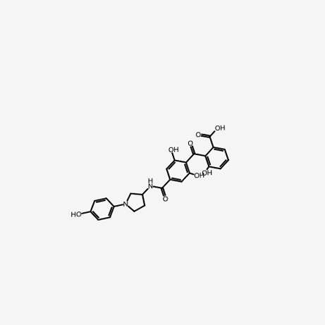 O=C(NC1CCN(c2ccc(O)cc2)C1)c1cc(O)c(C(=O)c2c(O)cccc2C(=O)O)c(O)c1